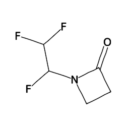 O=C1CCN1C(F)C(F)F